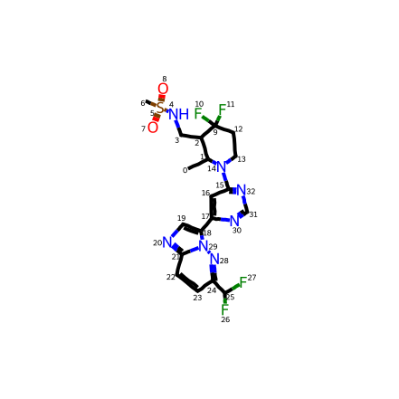 CC1C(CNS(C)(=O)=O)C(F)(F)CCN1c1cc(-c2cnc3ccc(C(F)F)nn23)ncn1